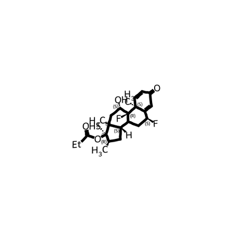 CCC(=O)O[C@]1(S)[C@H](C)C[C@H]2C3C[C@H](F)C4=CC(=O)C=C[C@]4(C)[C@@]3(F)[C@@H](O)C[C@@]21C